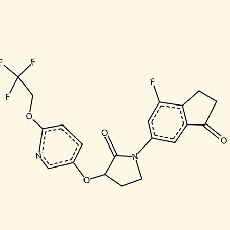 O=C1CCc2c(F)cc(N3CCC(Oc4ccc(OCC(F)(F)F)nc4)C3=O)cc21